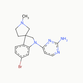 CN1CCC2(C1)CN(c1ccnc(N)n1)c1cc(Br)ccc12